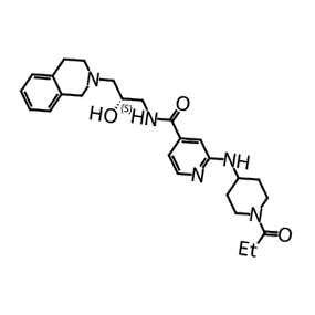 CCC(=O)N1CCC(Nc2cc(C(=O)NC[C@H](O)CN3CCc4ccccc4C3)ccn2)CC1